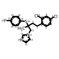 CC(CCc1ccc(Cl)cc1Cl)(Cn1ccnc1)Sc1ccc(F)cc1